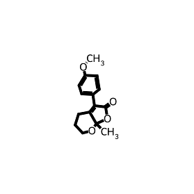 COc1ccc(C2=C3CCCOC3(C)OC2=O)cc1